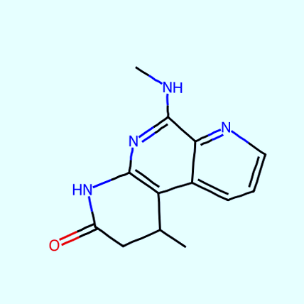 CNc1nc2c(c3cccnc13)C(C)CC(=O)N2